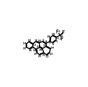 FC(F)(F)c1ccc(-c2cc3cc4ccccc4c4ccc5cccc2c5c34)cc1